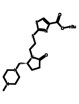 CCCCOC(=O)c1csc(SCCN2C(=O)CC[C@@H]2CN2CCN(C)CC2)n1